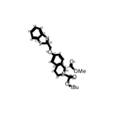 COC(=O)[C@H]1c2ccc(OCc3nc4ccccc4s3)cc2CCN1C(=O)OC(C)(C)C